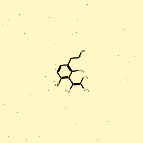 CC(C)=C(C)c1c(N)ccc(CCO)c1N